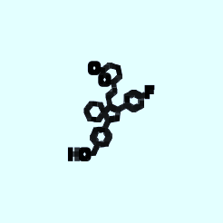 O=C1CCCC(C=CC2=C(c3ccc(F)cc3)C=C(c3ccc(CO)cc3)C23CCCCC3)O1